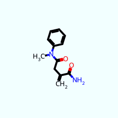 C=C(CC(=O)N(C)c1ccccc1)C(N)=O